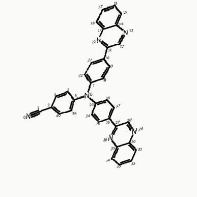 N#Cc1ccc(N(c2ccc(-c3cnc4ccccc4n3)cc2)c2ccc(-c3cnc4ccccc4n3)cc2)cc1